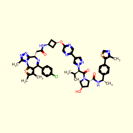 Cc1ncsc1-c1ccc([C@H](C)NC(=O)[C@@H]2C[C@@H](O)CN2C(=O)[C@@H](C(C)C)n2cc(-c3cnc(O[C@H]4C[C@H](NC(=O)C[C@@H]5N=C(c6ccc(Cl)cc6)c6c(sc(C)c6C)-n6c(C)nnc65)C4)cn3)cn2)cc1